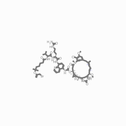 C=C(CBr)OC(C)(C)CCCCC(=O)N[C@H](C(=O)N[C@@H](CCCNC(N)=O)C(=O)Nc1ccc(NC(=O)O[C@H]2CC(=O)N(C)c3cc(cc(OC)c3Cl)C/C(C)=C/C=C/[C@@H](OC)[C@@]3(O)C[C@H](OC(=O)N3)[C@@H](C)[C@@H]3C[C@@]23C)c2cccnc12)C(C)C